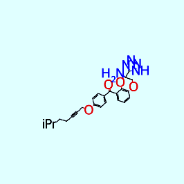 CC(C)CCC#CCOc1ccc(C(=O)c2cccc3c2OC(N)(c2nnn[nH]2)CO3)cc1